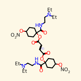 CCN(CC)CCNC(=O)C1(OC(=O)/C=C/C(=O)OC2(C(=O)NCCN(CC)CC)CCC(O[N+](=O)[O-])CC2)CCC(O[N+](=O)[O-])CC1